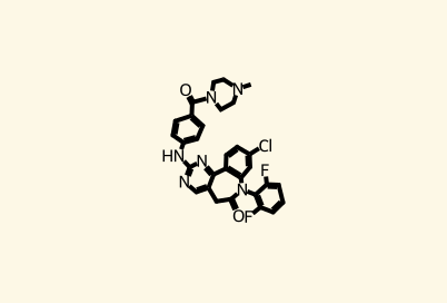 CN1CCN(C(=O)c2ccc(Nc3ncc4c(n3)-c3ccc(Cl)cc3N(c3c(F)cccc3F)C(=O)C4)cc2)CC1